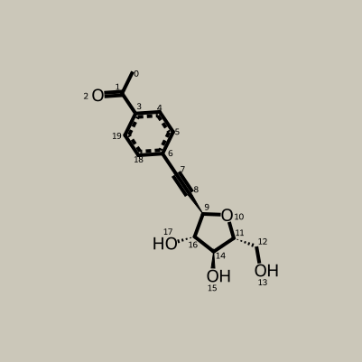 CC(=O)c1ccc(C#C[C@H]2O[C@H](CO)[C@@H](O)[C@@H]2O)cc1